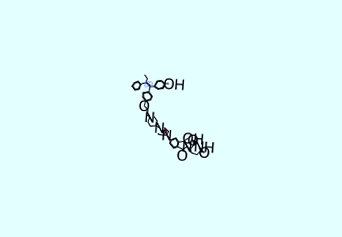 CC/C(=C(\c1ccc(O)cc1)c1ccc(OCCN2CCC(N3CC4CC3CN4c3ccc4c(c3)C(O)N(C3CCC(=O)NC3=O)C4=O)CC2)cc1)c1ccccc1